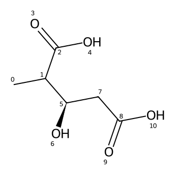 CC(C(=O)O)[C@H](O)CC(=O)O